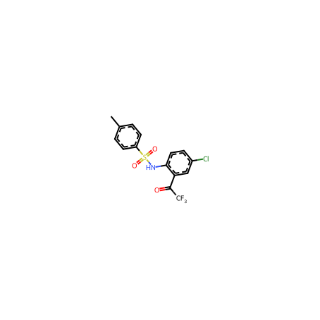 Cc1ccc(S(=O)(=O)Nc2ccc(Cl)cc2C(=O)C(F)(F)F)cc1